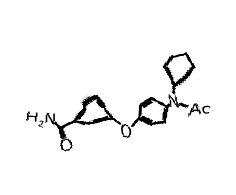 CC(=O)N(c1ccc(Oc2cccc(C(N)=O)c2)cc1)C1CCCC1